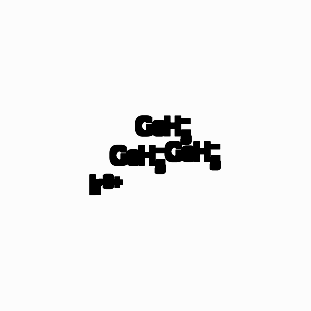 [GeH5-].[GeH5-].[GeH5-].[Ir+3]